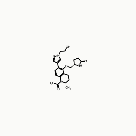 CC(=O)N1c2ccc(-c3cnn(CCO)c3)c(OC[C@H]3CCC(=O)N3)c2CC[C@@H]1C